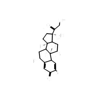 C[C@H]1C[C@H]2[C@@H]3C[C@@H](F)C4=CC(=O)C(Cl)=C[C@]4(C)[C@@]3(Cl)[C@@H](Cl)C[C@]2(C)[C@@]1(O)C(=O)CO